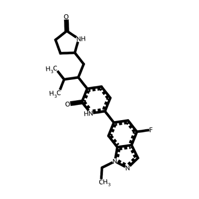 CCn1ncc2c(F)cc(-c3ccc(C(CC4CCC(=O)N4)C(C)C)c(=O)[nH]3)cc21